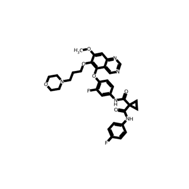 COc1cc2ncncc2c(Oc2ccc(NC(=O)C3(C(=O)Nc4ccc(F)cc4)CC3)cc2F)c1OCCCN1CCOCC1